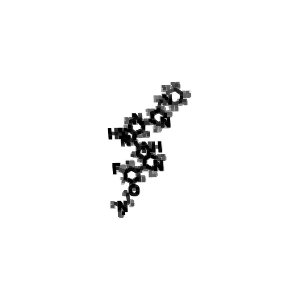 CN(C)CCOc1cc(F)cc(-c2cncc3[nH]c(-c4n[nH]c5cnc(-c6cncc(CN7CCCCC7)c6)cc45)cc23)c1